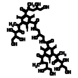 CN(CC(O)CO)C(=O)c1c(I)c(C(=O)NCC(O)CNC(=O)c2c(I)c(C(=O)N(C)CC(O)CO)c(I)c(N(C)C(=O)C(O)C(O)CO)c2I)c(I)c(N(C)C(=O)C(O)C(O)CO)c1I